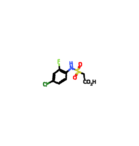 O=C(O)CS(=O)(=O)Nc1ccc(Cl)cc1F